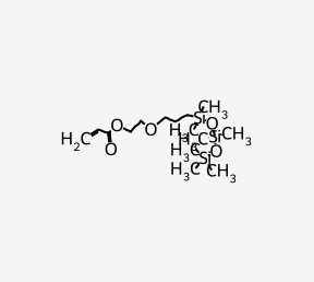 C=CC(=O)OCCOCCC[Si](C)(C)O[Si](C)(C)O[Si](C)(C)C